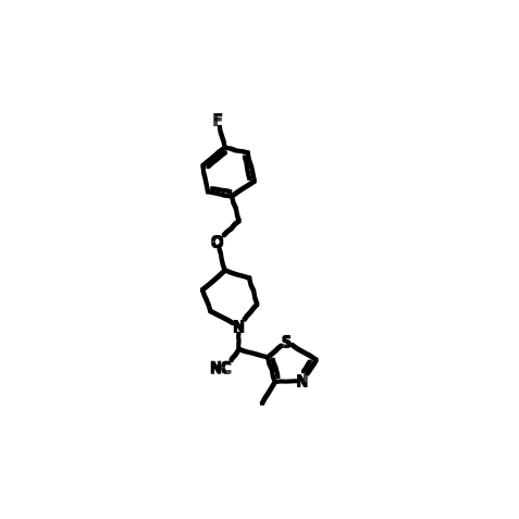 Cc1ncsc1C(C#N)N1CCC(OCc2ccc(F)cc2)CC1